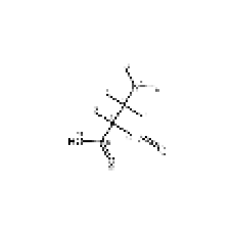 CN(C)C(C)(CC=O)C(C)(C)C(=O)O